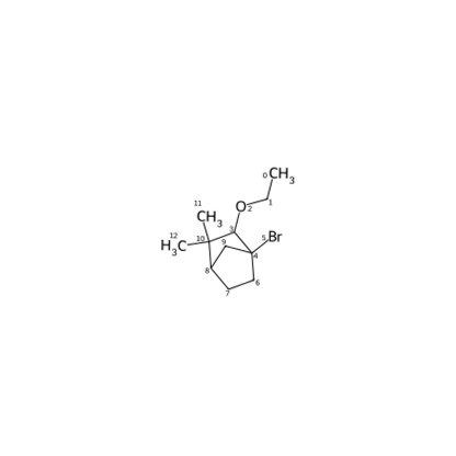 CCOC1C2(Br)CCC(C2)C1(C)C